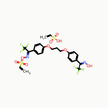 C=CS(=O)(=O)O.C=CS(=O)(=O)ON=C(c1ccc(OCCCOc2ccc(C(=NO)C(F)(F)F)cc2)cc1)C(F)(F)F